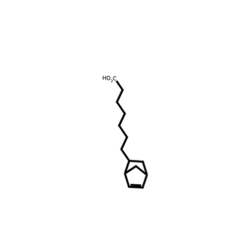 O=C(O)CCCCCCC1CC2C=CC1C2